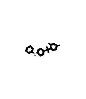 Cc1ccc(C(C)(C)c2ccc(Oc3ccccc3)cc2)c(C)c1